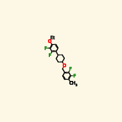 CCOc1ccc(C2CCC(OCc3ccc(C)c(F)c3F)CC2)c(F)c1F